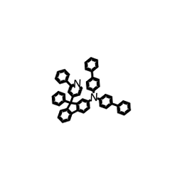 c1ccc(-c2ccc(N(c3ccc(-c4ccccc4)cc3)c3ccc4c(c3)C(c3ccccc3)(c3ccnc(-c5ccccc5)c3)c3ccccc3-4)cc2)cc1